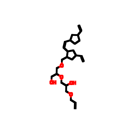 C=CCOCC(O)COC(CO)COCC1CC(C=C)CC1/C=C\C1CCC(C=C)C1